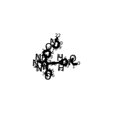 C=CC(=O)N1C[C@@H]2C(C#Cc3c(-c4ccc(Oc5cccc(C)n5)cc4)c4c(N)ncnc4n3C3CCOC3)[C@@H]2C1